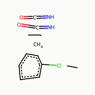 C.CC.CC.Clc1ccccc1.N=C=O.N=C=O